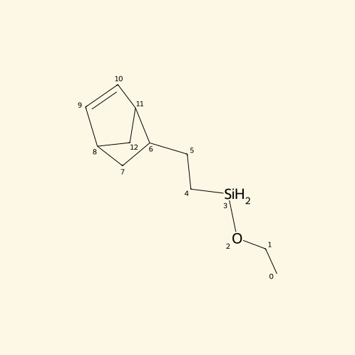 CCO[SiH2]CCC1CC2C=CC1C2